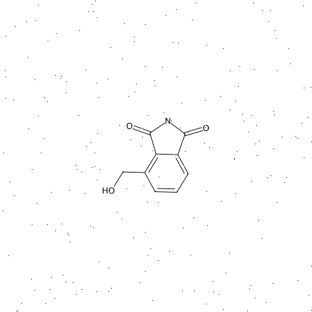 O=C1[N]C(=O)c2c(CO)cccc21